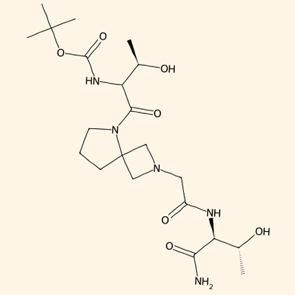 C[C@@H](O)C(NC(=O)OC(C)(C)C)C(=O)N1CCCC12CN(CC(=O)N[C@H](C(N)=O)[C@@H](C)O)C2